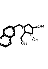 OCC1[C@@H](O)C(O)CN1Cc1ccc2ccccc2c1